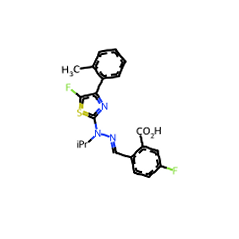 Cc1ccccc1-c1nc(N(/N=C/c2ccc(F)cc2C(=O)O)C(C)C)sc1F